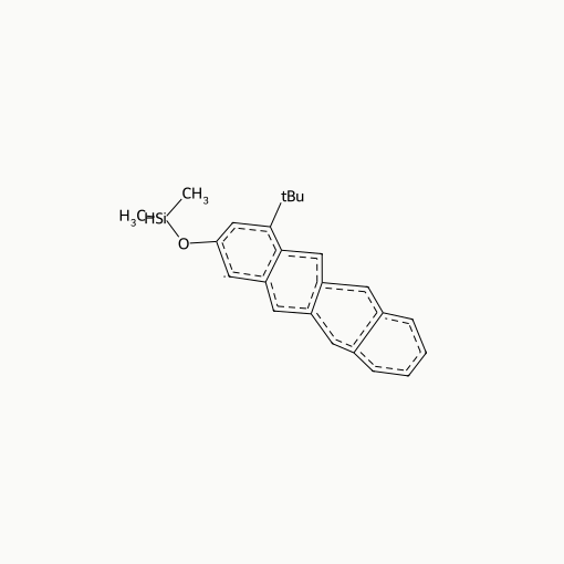 C[SiH](C)Oc1[c]c2cc3cc4ccccc4cc3cc2c(C(C)(C)C)c1